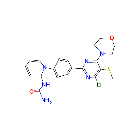 CSc1c(Cl)nc(-c2ccc(N3C=CC=CC3NC(N)=O)cc2)nc1N1CCOCC1